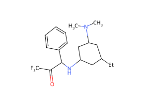 CCC1CC(NC(C(=O)C(F)(F)F)c2ccccc2)CC(N(C)C)C1